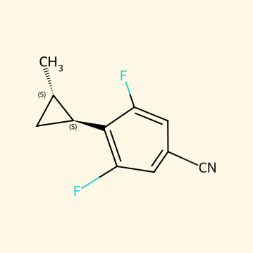 C[C@H]1C[C@@H]1c1c(F)cc(C#N)cc1F